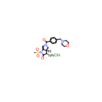 CCC[C@H]1C(=O)N(S(C)(=O)=O)C2=CN(C(=O)c3ccc(CN4CCOCC4)cc3)C[C@@H]21.Cl